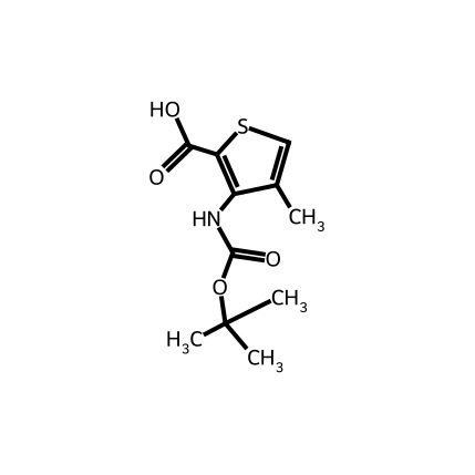 Cc1csc(C(=O)O)c1NC(=O)OC(C)(C)C